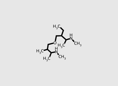 CCC(COCC(C)C(C)NC)C(C)NC